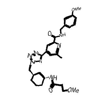 COCCC(=O)N[C@@H]1CCC[C@@H](Cn2nnc(-c3cc(C)nc(C(=O)NCc4cccc(OC)c4)c3)n2)C1